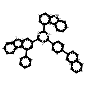 c1ccc(-c2cc(-c3nc(-c4ccc(-c5ccc6ccccc6c5)cc4)nc(-c4cccc5sc6ccccc6c45)n3)cc3sc4ccccc4c23)cc1